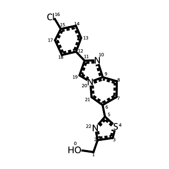 OCc1csc(-c2ccc3nc(-c4ccc(Cl)cc4)cn3c2)n1